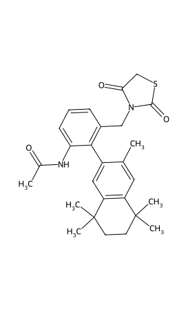 CC(=O)Nc1cccc(CN2C(=O)CSC2=O)c1-c1cc2c(cc1C)C(C)(C)CCC2(C)C